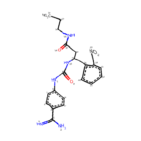 N=C(N)c1ccc(NC(=O)NC(CC(=O)NCCC(=O)O)c2ccccc2[N+](=O)[O-])cc1